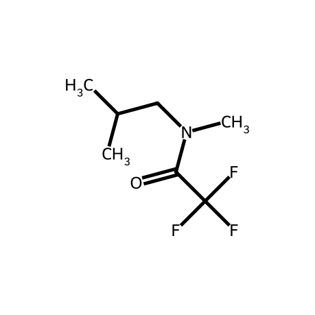 CC(C)CN(C)C(=O)C(F)(F)F